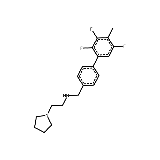 Cc1c(F)cc(-c2ccc(CNCCN3CCCC3)cc2)c(F)c1F